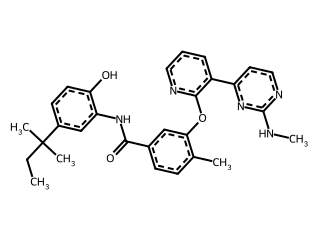 CCC(C)(C)c1ccc(O)c(NC(=O)c2ccc(C)c(Oc3ncccc3-c3ccnc(NC)n3)c2)c1